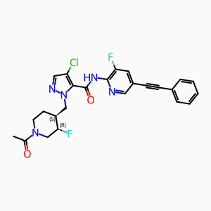 CC(=O)N1CC[C@@H](Cn2ncc(Cl)c2C(=O)Nc2ncc(C#Cc3ccccc3)cc2F)[C@@H](F)C1